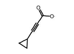 [O]C(=O)C#CC1CC1